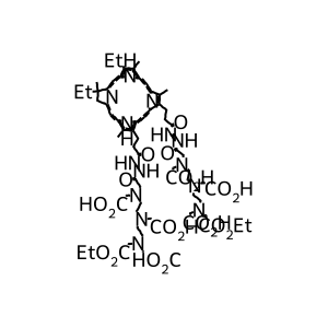 CCOC(=O)CN(CCN(CCN(CC(=O)O)CC(=O)NNC(=O)CCC1=C(C)c2cc3[nH]c(cc4nc(cc5[nH]c(cc1n2)c(CCC(=O)NNC(=O)CN(CCN(CCN(CC(=O)O)CC(=O)OCC)CC(=O)O)CC(=O)O)c5C)CC4(C)CC)c(CC)c3C)CC(=O)O)CC(=O)O